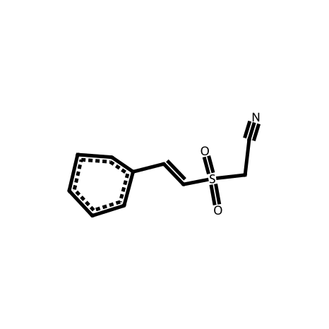 N#CCS(=O)(=O)C=Cc1ccccc1